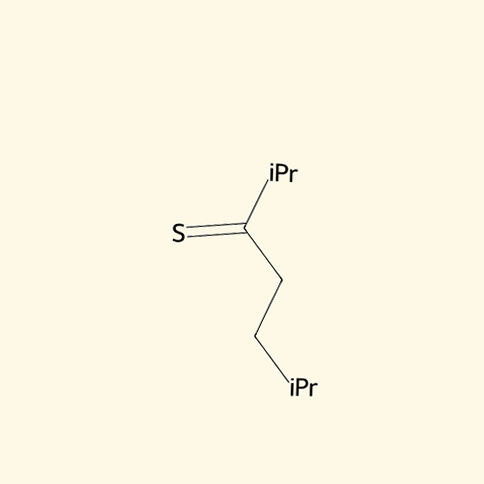 CC(C)CCC(=S)C(C)C